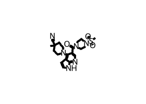 CC1(C#N)CCN(c2c(C(=O)N3CCN(S(C)(=O)=O)CC3)cnc3[nH]ccc23)CC1